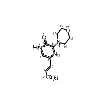 CCOC(=O)/C=C/c1c[nH]c(=O)c(N2CCOCC2)n1